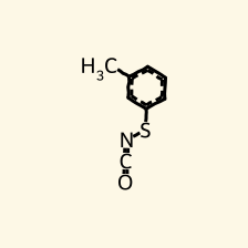 Cc1cccc(SN=C=O)c1